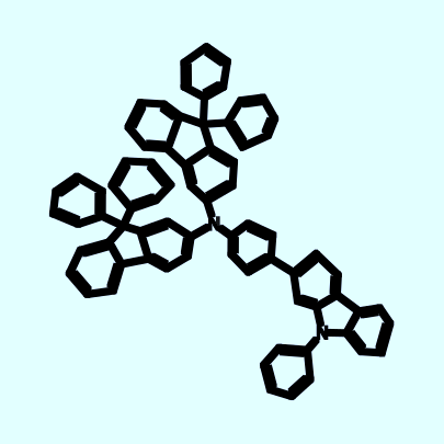 c1ccc(-n2c3ccccc3c3ccc(-c4ccc(N(c5ccc6c(c5)-c5ccccc5C6(c5ccccc5)c5ccccc5)c5ccc6c(c5)C(c5ccccc5)(c5ccccc5)c5ccccc5-6)cc4)cc32)cc1